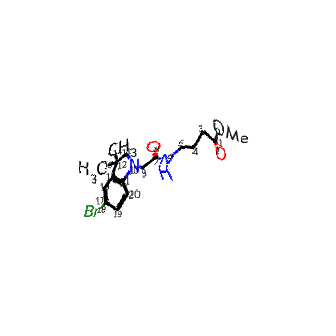 COC(=O)CCCNC(=O)CN1CC(C)(C)c2cc(Br)ccc21